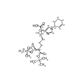 CC(C)(C)OC(=O)N(CCC[C@H]1C[C@]1(C(=O)O)c1cn(C2C=CCCC2)cn1)C(=O)OC(C)(C)C